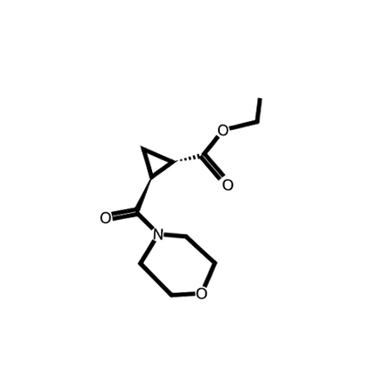 CCOC(=O)[C@H]1C[C@@H]1C(=O)N1CCOCC1